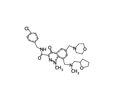 CN(Cc1cc(CN2CCOCC2)cc2c(=O)c(C(=O)NCc3ccc(Cl)cc3)nn(C)c12)CC1CCCO1